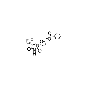 O=C(OC[C@@H]1CC[C@H](n2cc(C(F)(F)F)c(=O)[nH]c2=O)O1)c1ccccc1